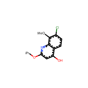 COc1c(Cl)ccc2c(O)cc(OC(C)C)nc12